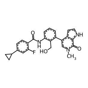 Cn1cc(-c2cccc(NC(=O)c3ccc(C4CC4)cc3F)c2CO)c2cc[nH]c2c1=O